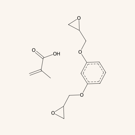 C=C(C)C(=O)O.c1cc(OCC2CO2)cc(OCC2CO2)c1